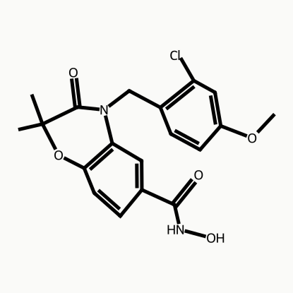 COc1ccc(CN2C(=O)C(C)(C)Oc3ccc(C(=O)NO)cc32)c(Cl)c1